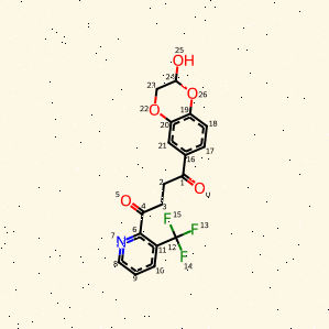 O=C(CCC(=O)c1ncccc1C(F)(F)F)c1ccc2c(c1)OCC(O)O2